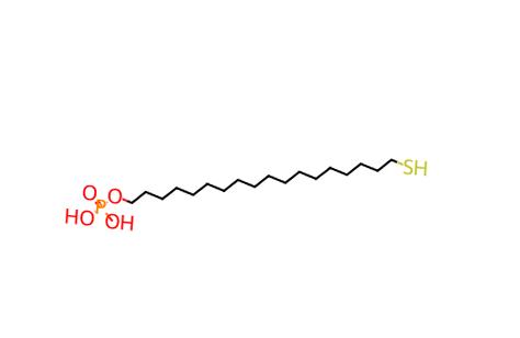 O=P(O)(O)OCCCCCCCCCCCCCCCCCCS